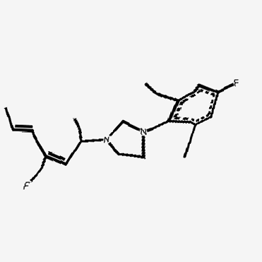 C/C=C/C(F)=C\C(C)N1CCN(c2c(C)cc(F)cc2C)C1